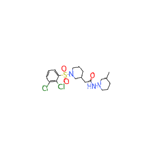 CC1CCCN(NC(=O)CC2CCCN(S(=O)(=O)c3cccc(Cl)c3Cl)C2)C1